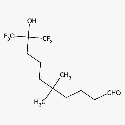 CC(C)(CCCC=O)CCCC(O)(C(F)(F)F)C(F)(F)F